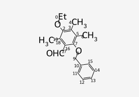 CCOc1c(C)c(C)c(OCc2ccccc2)c(C=O)c1C